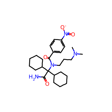 CN(C)CCCN(C(=O)c1ccc([N+](=O)[O-])cc1)C(C(N)=O)(C1CCCCC1)C1CCCCC1